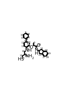 CC(Oc1nc(-c2ccccc2)ccc1NCC(N)CS)C(=O)NC1Cc2ccccc2C1